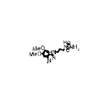 C=Nc1cc(OC)c(OC)cc1/C(=N\C)NCCCNS(N)(=O)=O